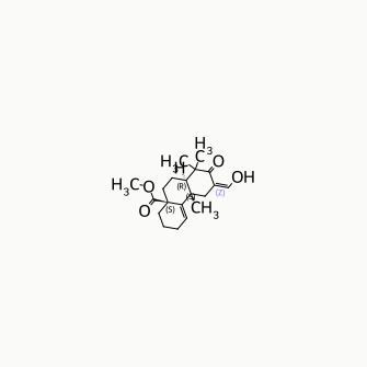 COC(=O)[C@]12CCCC=C1[C@@]1(C)C/C(=C/O)C(=O)C(C)(C)[C@@H]1CC2